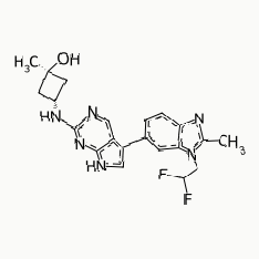 Cc1nc2ccc(-c3c[nH]c4nc(N[C@H]5C[C@](C)(O)C5)ncc34)cc2n1CC(F)F